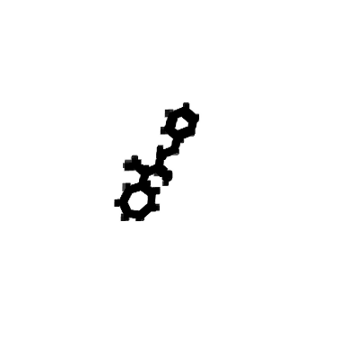 [NH]C(C(=O)OCc1ccccc1)C1CCCCCC1